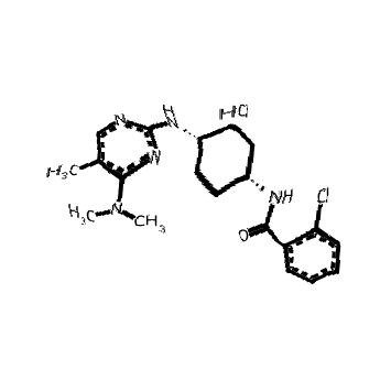 Cc1cnc(N[C@H]2CC[C@@H](NC(=O)c3ccccc3Cl)CC2)nc1N(C)C.Cl